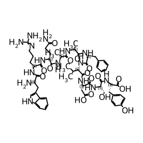 CC(C)[C@H](NC(=O)[C@H](Cc1ccccc1)NC(=O)[C@H](C)NC(=O)[C@H](C)NC(=O)[C@H](CCC(N)=O)NC(=O)[C@H](CCCN=C(N)N)NC(=O)[C@@H](N)Cc1c[nH]c2ccccc12)C(=O)N[C@@H](CC(=O)O)C(=O)N[C@@H](CO)C(=O)N[C@@H](Cc1ccc(O)cc1)C(=O)O